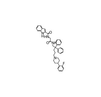 O=C(CNC(=O)c1cc2ccccc2[nH]1)NCC(CCCN1CCC(c2ccccc2F)CC1)(c1ccccc1)c1ccccc1